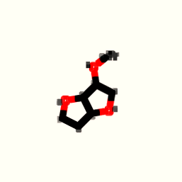 CC(C)OC1COC2CCOC21